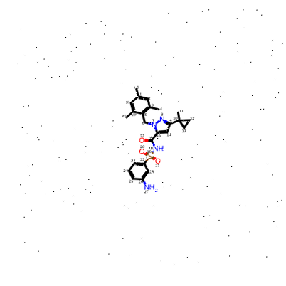 Cc1cc(C)c(Cn2nc(C3(C)CC3)cc2C(=O)NS(=O)(=O)c2cccc(N)c2)c(C)c1